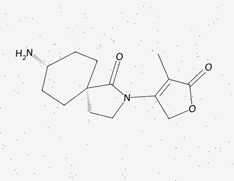 CC1=C(N2CC[C@]3(CC[C@@H](N)CC3)C2=O)COC1=O